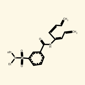 C=C/C=C\C(=C/C=C)NC(=O)c1cccc(S(=O)(=O)N(CC)CCC)c1